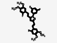 COc1cc(F)c(/C=C/c2cc(/C=C/c3cc(OC)c(OC)cc3F)n(-c3cc(F)cc(F)c3)n2)cc1OC